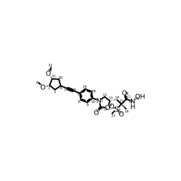 CO[C@H]1CC(C#Cc2ccc(N3C[C@H](C[C@](C)(C(=O)NO)S(C)(=O)=O)OC3=O)cc2)C[C@H]1OC